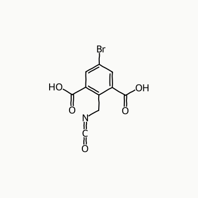 O=C=NCc1c(C(=O)O)cc(Br)cc1C(=O)O